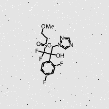 COCCS(=O)(=O)C(F)(F)C(O)(Cn1cncn1)c1ccc(F)cc1F